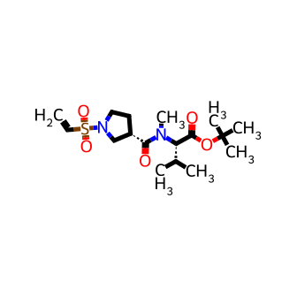 C=CS(=O)(=O)N1CC[C@H](C(=O)N(C)[C@H](C(=O)OC(C)(C)C)C(C)C)C1